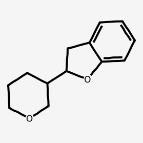 c1ccc2c(c1)CC(C1CCCOC1)O2